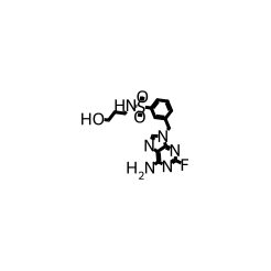 Nc1nc(F)nc2c1ncn2Cc1cccc(S(=O)(=O)NCCCO)c1